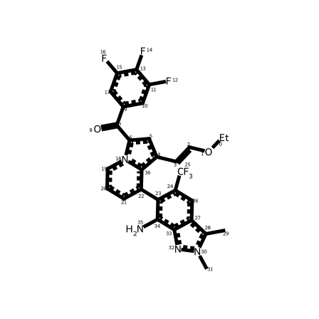 CCOC=Cc1cc(C(=O)c2cc(F)c(F)c(F)c2)n2cccc(-c3c(C(F)(F)F)cc4c(C)n(C)nc4c3N)c12